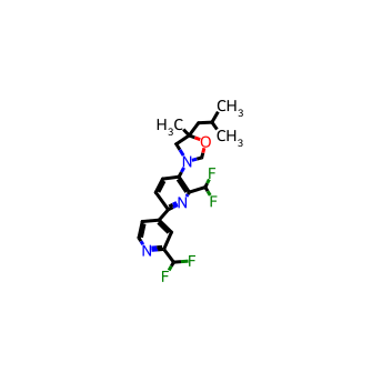 CC(C)CC1(C)CN(c2ccc(-c3ccnc(C(F)F)c3)nc2C(F)F)CO1